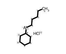 CCCC[CH2][Al][CH]1CCCCC1.Cl